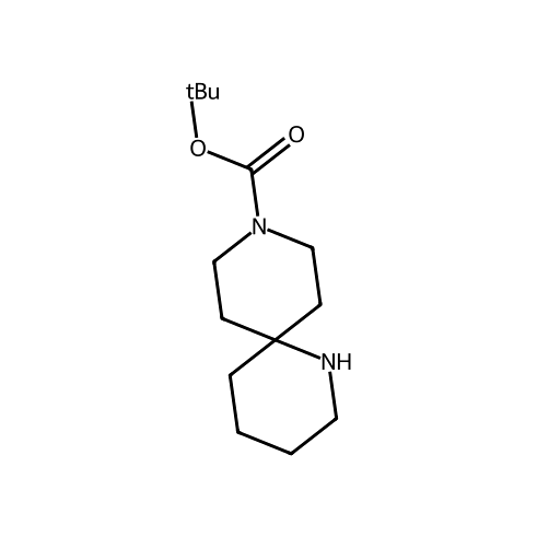 CC(C)(C)OC(=O)N1CCC2(CCCCN2)CC1